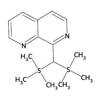 CS(C)(C)C(c1nccc2cccnc12)S(C)(C)C